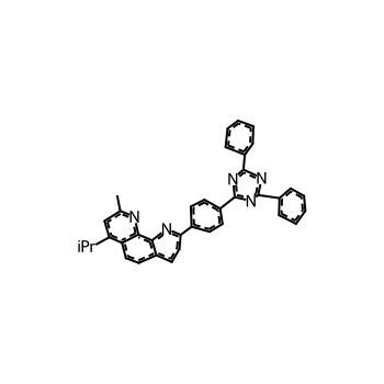 Cc1cc(C(C)C)c2ccc3ccc(-c4ccc(-c5nc(-c6ccccc6)nc(-c6ccccc6)n5)cc4)nc3c2n1